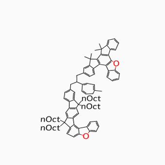 CCCCCCCCC1(CCCCCCCC)c2cc(CC(Cc3ccc4c(c3)C(C)(C)c3c5c(c6oc7ccccc7c6c3-4)-c3ccccc3C5(C)C)C3=CC=C(C)CC=C3)ccc2-c2cc3c(cc21)-c1c(ccc2oc4ccccc4c12)C3(CCCCCCCC)CCCCCCCC